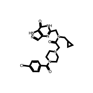 O=C(CN1CCN(C(=O)c2ccc(Cl)cc2)CC1)N(Cc1nc2cn[nH]c2c(=O)[nH]1)CC1CC1